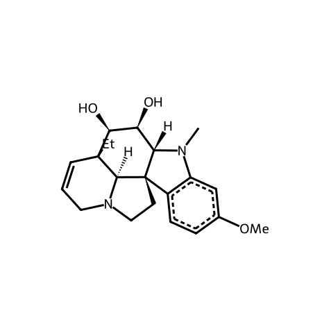 CCC12C=CCN3CC[C@@]4(c5ccc(OC)cc5N(C)[C@H]4[C@H](O)[C@@H]1O)[C@@H]32